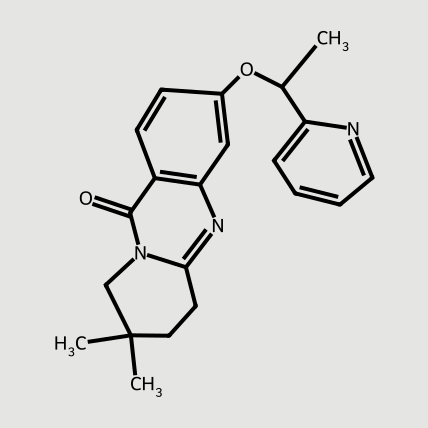 CC(Oc1ccc2c(=O)n3c(nc2c1)CCC(C)(C)C3)c1ccccn1